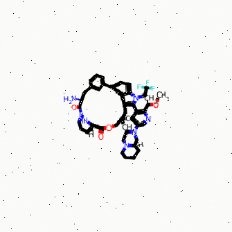 CO[C@@H](C)c1ncc(N2CCN3CCCC[C@@H]3C2)cc1-c1c2c3cc(ccc3n1CC(F)(F)F)-c1cccc(c1)C[C@H](N)C(=O)N1CCC[C@H](N1)C(=O)OCC(C)(C)C2